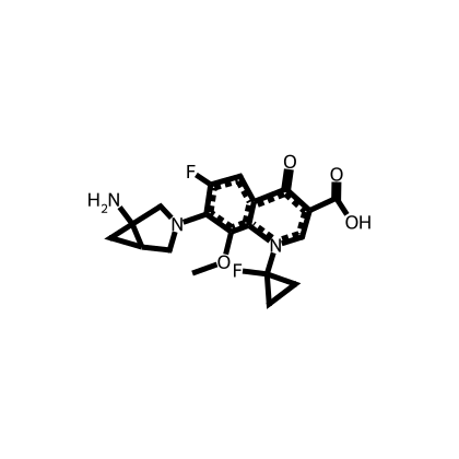 COc1c(N2CC3CC3(N)C2)c(F)cc2c(=O)c(C(=O)O)cn(C3(F)CC3)c12